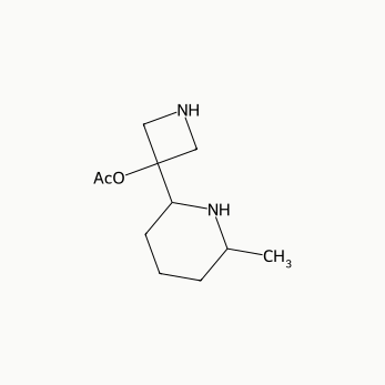 CC(=O)OC1(C2CCCC(C)N2)CNC1